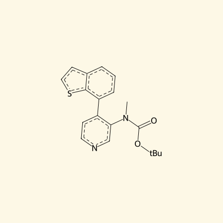 CN(C(=O)OC(C)(C)C)c1cnccc1-c1cccc2ccsc12